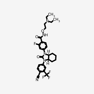 CCN(CC)CCONC(=O)c1ccc(N2C(=O)N(c3ccc(C#N)c(C(F)(F)F)c3)[C@H]3CCCC[C@@H]32)cc1F